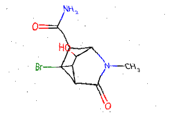 CN1C(=O)C2CC(C(N)=O)C1C(O)C2Br